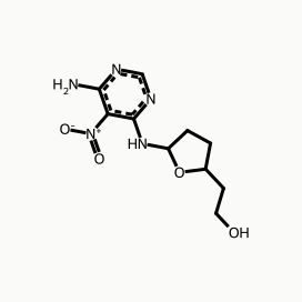 Nc1ncnc(NC2CCC(CCO)O2)c1[N+](=O)[O-]